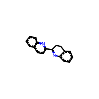 c1ccc2c(c1)CCC(c1ccc3ccccc3n1)=N2